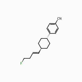 N#Cc1ccc([C@H]2CC[C@H](C=CCCF)CC2)cc1